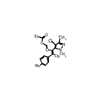 CCC(=O)OCO/C(=C(/C#N)c1ccc(C(C)(C)C)cc1)c1c(Cl)c(C)nn1C